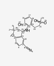 CC1(C)Oc2ccc(C#N)cc2[C@H](Nc2ccccc2CCS(C)(=O)=O)[C@H]1O